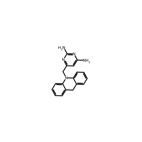 Nc1cc(CN2c3ccccc3Cc3ccccc32)nc(N)n1